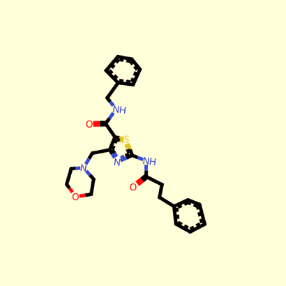 O=C(CCc1ccccc1)Nc1nc(CN2CCOCC2)c(C(=O)NCc2ccccc2)s1